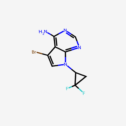 Nc1ncnc2c1c(Br)cn2C1CC1(F)F